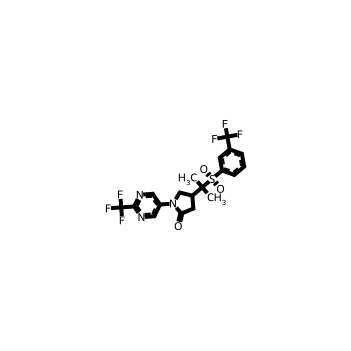 CC(C)(C1CC(=O)N(c2cnc(C(F)(F)F)nc2)C1)S(=O)(=O)c1cccc(C(F)(F)F)c1